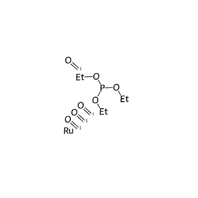 CCOP(OCC)OCC.[C]=O.[C]=O.[C]=O.[C]=O.[Ru]